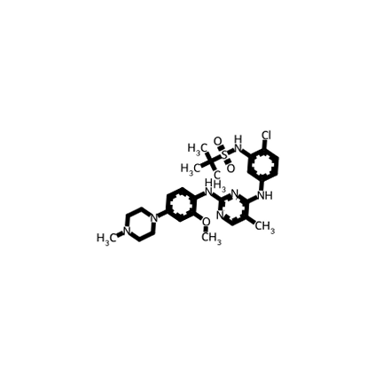 COc1cc(N2CCN(C)CC2)ccc1Nc1ncc(C)c(Nc2ccc(Cl)c(NS(=O)(=O)C(C)(C)C)c2)n1